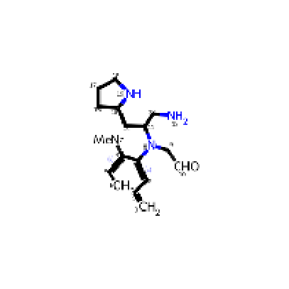 C=C/C=C(\C(=C/C)NC)N(CC=O)C(CN)CC1CCCN1